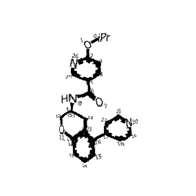 CC(C)Oc1ccc(C(=O)N[C@@H]2COc3cccc(-c4ccncc4)c3C2)cn1